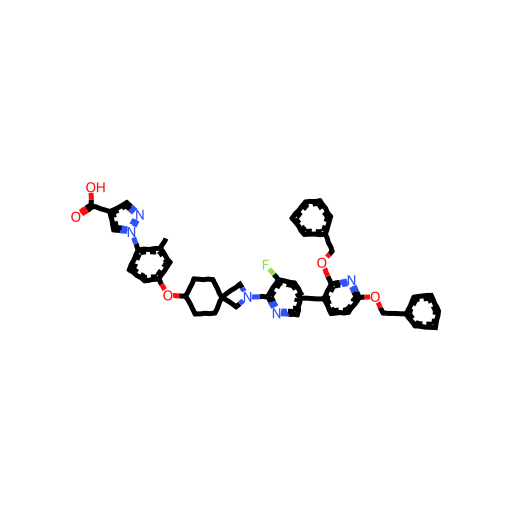 Cc1cc(OC2CCC3(CC2)CN(c2ncc(-c4ccc(OCc5ccccc5)nc4OCc4ccccc4)cc2F)C3)ccc1-n1cc(C(=O)O)cn1